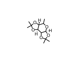 CC1O[C@H]2OC(C)(C)OC2[C@H]2OC(C)(C)O[C@H]12